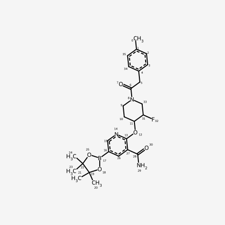 Cc1ccc(CC(=O)N2CCC(Oc3ncc(B4OC(C)(C)C(C)(C)O4)cc3C(N)=O)C(F)C2)cc1